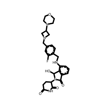 O=C1CCC(N2C(=O)c3cccc(NCc4ccc(CN5CC(N6CCOCC6)C5)cc4F)c3C2O)C(=O)N1